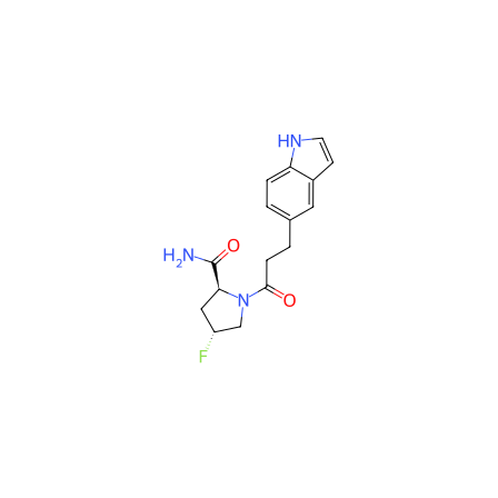 NC(=O)[C@@H]1C[C@@H](F)CN1C(=O)CCc1ccc2[nH]ccc2c1